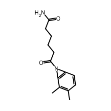 Cc1ccc2c(c1C)N2C(=O)CCCCC(N)=O